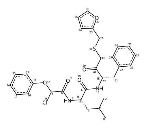 CC(C)C[C@H](NC(=O)C(Cl)Oc1ccccc1)C(=O)N[C@@H](Cc1ccccc1)C(=O)CSCc1ccco1